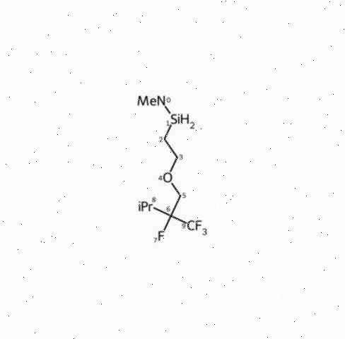 CN[SiH2]CCOCC(F)(C(C)C)C(F)(F)F